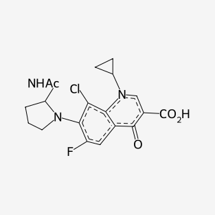 CC(=O)NC1CCCN1c1c(F)cc2c(=O)c(C(=O)O)cn(C3CC3)c2c1Cl